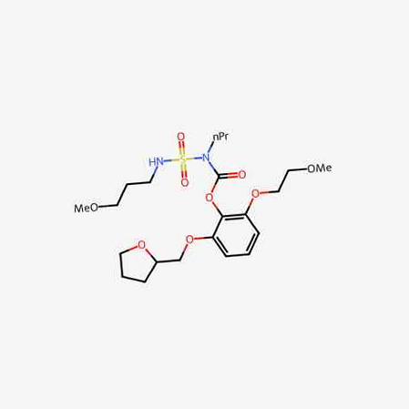 CCCN(C(=O)Oc1c(OCCOC)cccc1OCC1CCCO1)S(=O)(=O)NCCCOC